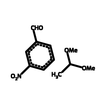 COC(C)OC.O=Cc1cccc([N+](=O)[O-])c1